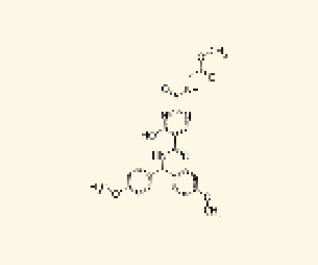 COC(=O)CNC(=O)c1ncc(C(=O)NC(c2ccc(OC)cc2)c2ccc(OC)cc2)c(O)n1